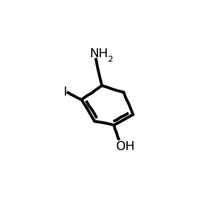 NC1CC=C(O)C=C1I